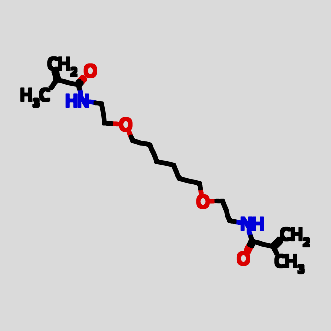 C=C(C)C(=O)NCCOCCCCCCOCCNC(=O)C(=C)C